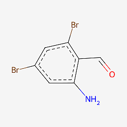 Nc1cc(Br)cc(Br)c1C=O